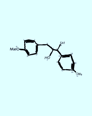 COc1ccc(CC(O)C(O)c2ccc(OC)cc2)cc1